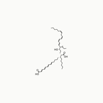 CCCCC/C=C\C\C=C/C=C\C=C\[C@@H](SCC)[C@@H](O)CC[C@H](C(=O)O)[C@@H](CCCCC=CC=CC=CC=CC(=O)O)CCCCCC